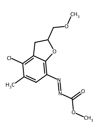 COCC1Cc2c(Cl)c(C)cc(N=NC(=O)OC)c2O1